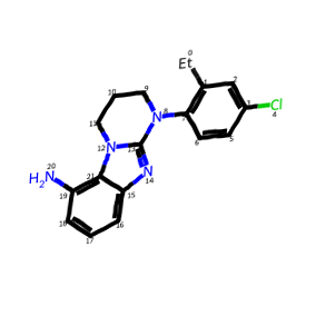 CCc1cc(Cl)ccc1N1CCCn2c1nc1cccc(N)c12